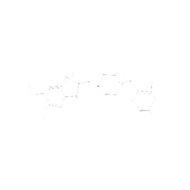 COc1cc2c(cc1OC)S(=O)(=O)C(CC1(F)CCN(Cc3ccccc3F)CC1)C2